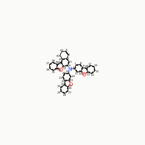 C1=Cc2cc(N(c3ccc4c(c3)oc3ccccc34)c3ccc4c(c3)oc3ccccc34)c3oc4ccccc4c3c2CC1